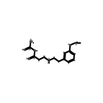 CCCCCCCCCOc1cccc(CCNCCC(=O)OC(=O)C(F)(F)F)c1